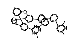 Cc1ccc(-c2cccc(-c3ccc(-c4ccc5c(c4)Oc4ccccc4C54c5ccccc5-c5ccc(-c6nc(C)nc(-c7ccccc7)n6)cc54)cc3)c2)c(C)n1